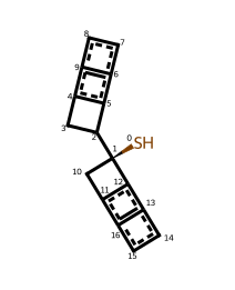 S[C@]1(C2Cc3c2c2ccc3=2)Cc2c1c1ccc2=1